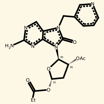 CCC(=O)O[C@H]1C[C@@H](OC(C)=O)[C@H](n2c(=O)n(Cc3cccnc3)c3cnc(N)nc32)O1